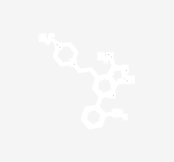 Cc1ccccc1-c1cc(CCN2CCN(C)CC2)c2c(N)n[nH]c2n1